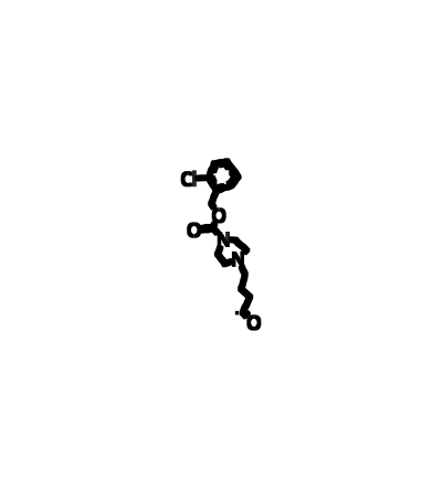 O=[C]CCCN1CCN(C(=O)OCc2ccccc2Cl)CC1